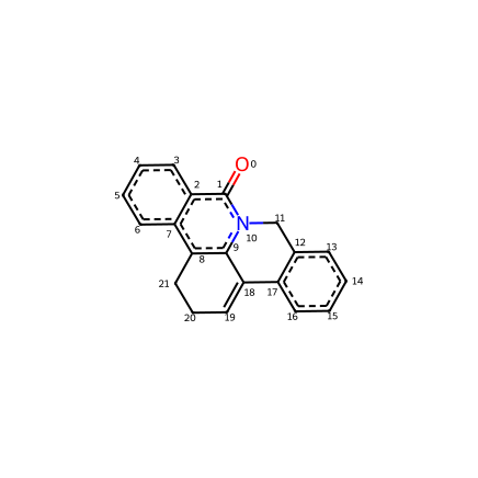 O=c1c2ccccc2c2c3n1Cc1ccccc1C3=CCC2